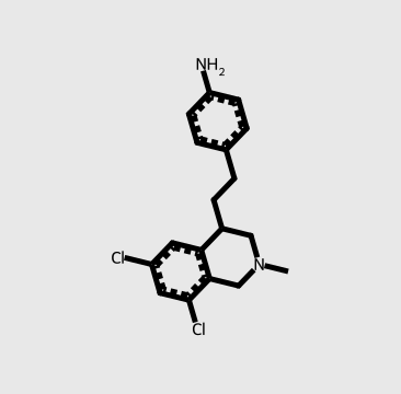 CN1Cc2c(Cl)cc(Cl)cc2C(CCc2ccc(N)cc2)C1